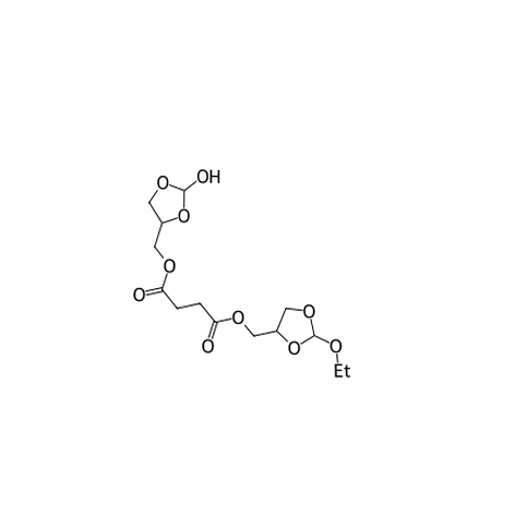 CCOC1OCC(COC(=O)CCC(=O)OCC2COC(O)O2)O1